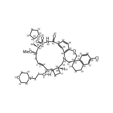 CO[C@@H]1C/C=C/[C@H](OCCN2CCOCC2)[C@@H]2CC[C@H]2CN2C[C@@]3(CCCc4cc(Cl)ccc43)COc3ccc(cc32)C(=O)NS(=O)(=O)[C@@H]1C[C@@H]1CCCO1